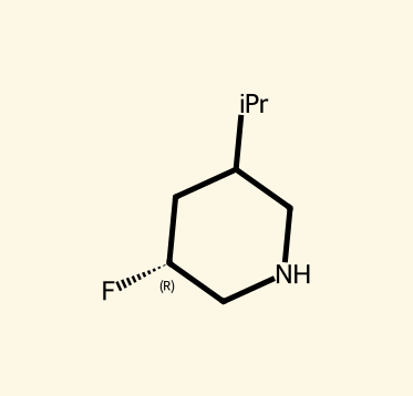 CC(C)C1CNC[C@H](F)C1